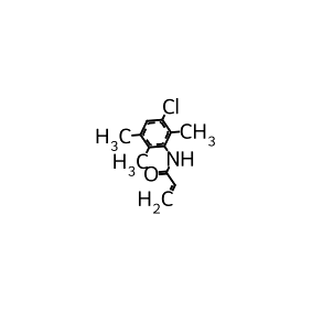 C=CC(=O)Nc1c(C)c(C)cc(Cl)c1C